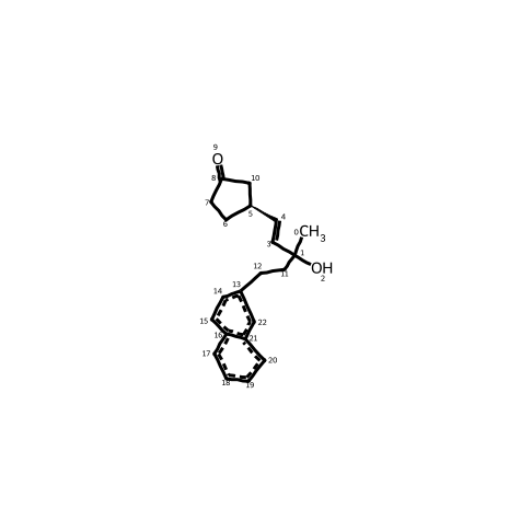 CC(O)(/C=C/[C@H]1CCC(=O)C1)CCc1ccc2ccccc2c1